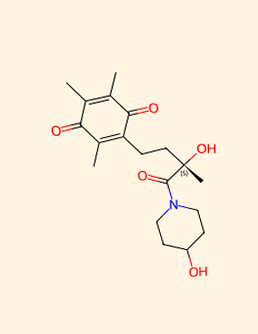 CC1=C(C)C(=O)C(CC[C@](C)(O)C(=O)N2CCC(O)CC2)=C(C)C1=O